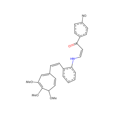 COC1=C(OC)C(OC)C=CC(/C=C\c2ccccc2N/C=C\C(=O)c2ccc(N=O)cc2)=C1